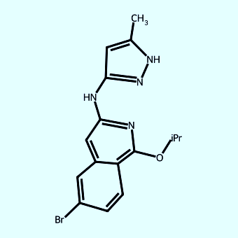 Cc1cc(Nc2cc3cc(Br)ccc3c(OC(C)C)n2)n[nH]1